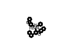 c1ccc(C2=NC(c3ccc4oc5ccccc5c4c3)NC(c3cc(-c4cccc5ccccc45)cc4oc5cc6ccccc6cc5c34)=N2)cc1